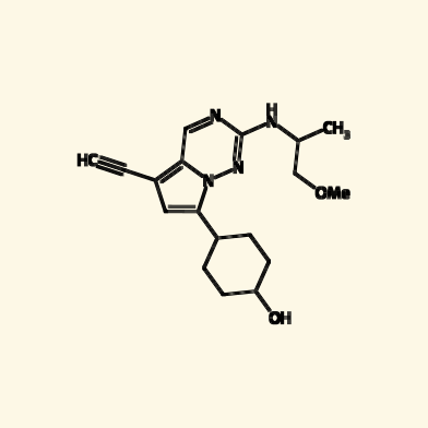 C#Cc1cc(C2CCC(O)CC2)n2nc(NC(C)COC)ncc12